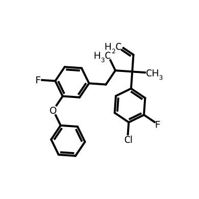 C=CC(C)(c1ccc(Cl)c(F)c1)C(C)Cc1ccc(F)c(Oc2ccccc2)c1